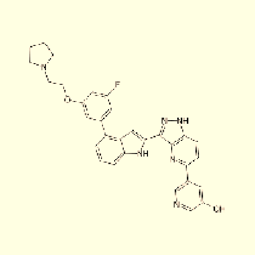 Oc1cncc(-c2ccc3[nH]nc(-c4cc5c(-c6cc(F)cc(OCCN7CCCC7)c6)cccc5[nH]4)c3n2)c1